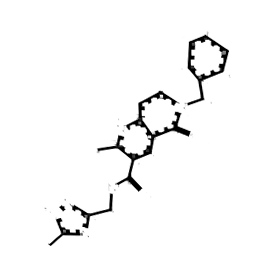 Cc1nc(CNC(=O)c2cc3c(=O)n(Cc4ccccc4)ccc3nc2C)no1